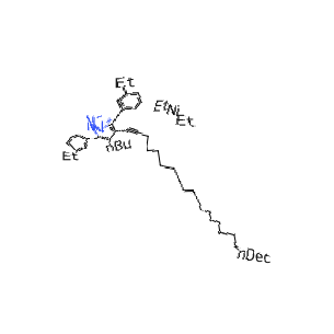 CCCCCCCCCCCCCCCCCCCCCCCCC#CC1=C(c2cccc(CC)c2)[N+](=[N-])C(c2cccc(CC)c2)=C1CCCC.C[CH2][Ni][CH2]C